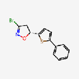 BrC1=NO[C@@H](c2ccc(-c3ccccc3)s2)C1